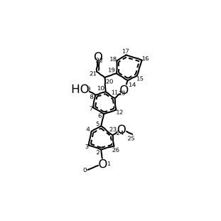 COc1ccc(-c2cc(O)c3c(c2)Oc2ccccc2C3C=O)c(OC)c1